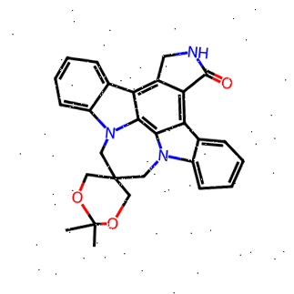 CC1(C)OCC2(CO1)Cn1c3ccccc3c3c4c(c5c6ccccc6n(c5c31)C2)C(=O)NC4